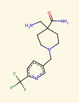 NCC1(C(N)=O)CCN(Cc2ccc(C(F)(F)F)nc2)CC1